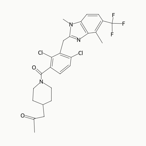 CC(=O)CC1CCN(C(=O)c2ccc(Cl)c(Cc3nc4c(C)c(C(F)(F)F)ccc4n3C)c2Cl)CC1